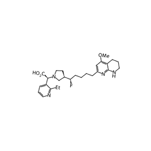 CCc1ncccc1[C@@H](C(=O)O)N1CC[C@@H]([C@H](F)CCCCc2cc(OC)c3c(n2)NCCC3)C1